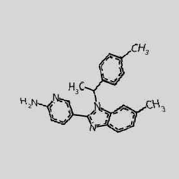 Cc1ccc(C(C)n2c(-c3ccc(N)nc3)nc3ccc(C)cc32)cc1